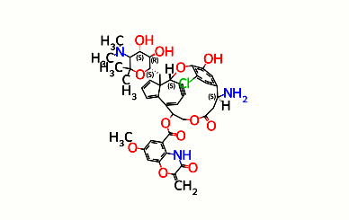 C=C1Oc2cc(OC)cc(C(=O)OC3COC(=O)C[C@H](N)c4cc(O)c(c(Cl)c4)O[C@@H]4C#CC=C3C3=CC=CC34C[C@@H]3OC(C)(C)C(N(C)C)[C@H](O)[C@H]3O)c2NC1=O